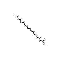 NCCOCCOCCOCCOCCCC(=O)O